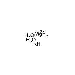 O.O.[KH].[MgH2].[Zr]